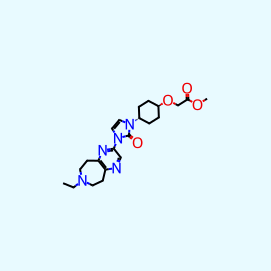 CCN1CCc2ncc(-n3ccn([C@H]4CC[C@H](OCC(=O)OC)CC4)c3=O)nc2CC1